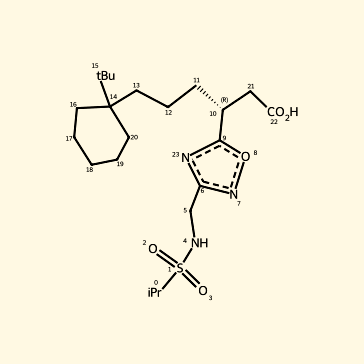 CC(C)S(=O)(=O)NCc1noc([C@H](CCCC2(C(C)(C)C)CCCCC2)CC(=O)O)n1